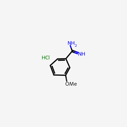 COc1cccc(C(=N)N)c1.Cl